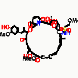 COCCS(=O)(=O)N[C@@H]1C[C@@H]2CC[C@@H](C)[C@@](O)(O2)C(=O)C(=O)N2CCCC[C@H]2C(=O)O[C@H]([C@H](C)C[C@@H]2CC[C@@H](O)[C@H](OC)C2)CC(=O)C/C=C(\C)[C@@H](O)[C@@H](OC)C(=O)CCC/C=C/C=C/C=C/1C